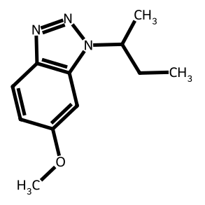 CCC(C)n1nnc2ccc(OC)cc21